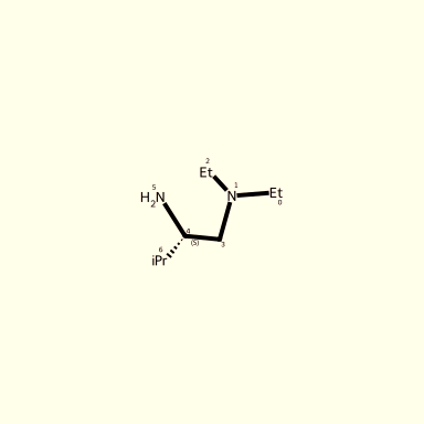 CCN(CC)C[C@@H](N)C(C)C